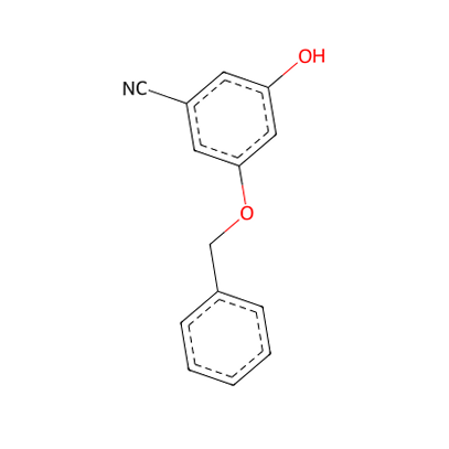 N#Cc1cc(O)cc(OCc2ccccc2)c1